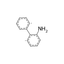 Nc1ccc[c]c1-c1[c]cccc1